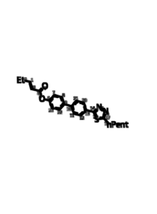 CCC=CC(=O)Oc1ccc(-c2ccc(-c3nnc(CCCCC)s3)cc2)cc1